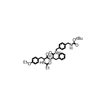 CCOc1ccc(CC(NC(=O)CC)C(=O)NC(Cc2ccccc2)C(=O)NCc2ccc(CNC(=O)OC(C)(C)C)cc2)cc1